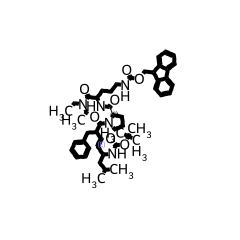 CCN(CC)C(=O)C(CCCNC(=O)OCC1c2ccccc2-c2ccccc21)NC(=O)[C@@H]1CCCN1C(=O)C(/C=C/C(CC(C)C)NC(=O)OC(C)(C)C)Cc1ccccc1